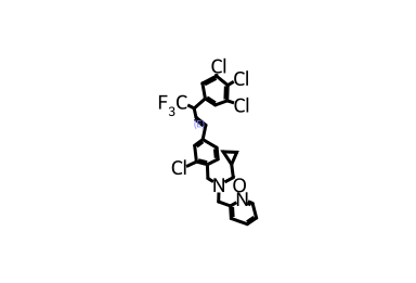 O=C(C1CC1)N(Cc1ccccn1)Cc1ccc(/C=C/C(c2cc(Cl)c(Cl)c(Cl)c2)C(F)(F)F)cc1Cl